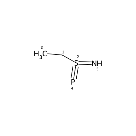 CCS(=N)#P